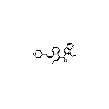 CC/C=C(/C(=O)c1cc2ccsc2n1CC)c1ccccc1/C=C\CC1CCOCC1